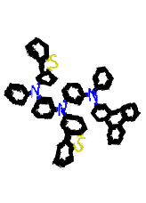 C1=C(N(c2ccccc2)c2cccc(N(c3cccc(N(c4ccccc4)c4ccc5sc6ccccc6c5c4)c3)c3ccc4sc5ccccc5c4c3)c2)CCc2c1c1ccccc1c1ccccc21